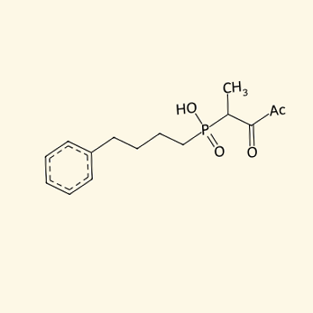 CC(=O)C(=O)C(C)P(=O)(O)CCCCc1ccccc1